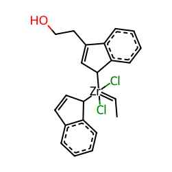 C[CH]=[Zr]([Cl])([Cl])([CH]1C=Cc2ccccc21)[CH]1C=C(CCO)c2ccccc21